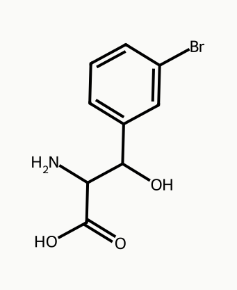 NC(C(=O)O)C(O)c1cccc(Br)c1